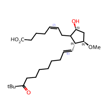 CO[C@@H]1C[C@H](O)C(C/C=C\CCCC(=O)O)[C@H]1/C=C/CCCCCCC(=O)C(C)(C)C